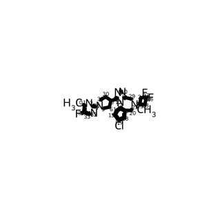 Cc1nc(N2CCC(c3nnc4n3-c3ccc(Cl)cc3CN(C3(C)CC(F)(F)C3)C4)CC2)ncc1F